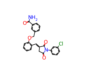 NC(=O)c1cccc(COc2ccccc2/C=C2\CC(=O)N(c3cccc(Cl)c3)C2=O)c1